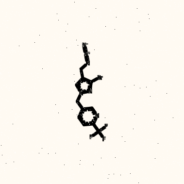 [N-]=[N+]=NCc1cn(Cc2ccc(C(F)(F)F)nc2)nc1Br